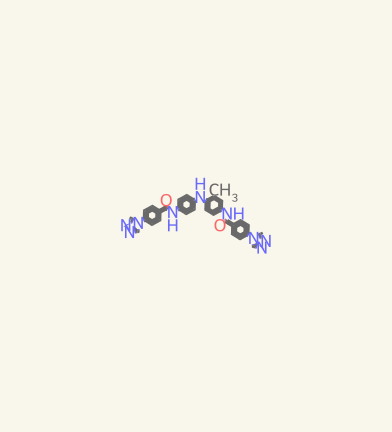 CC1CC(NC(=O)c2ccc(-n3cnnc3)cc2)=CC=C1Nc1ccc(NC(=O)c2ccc(-n3cnnc3)cc2)cc1